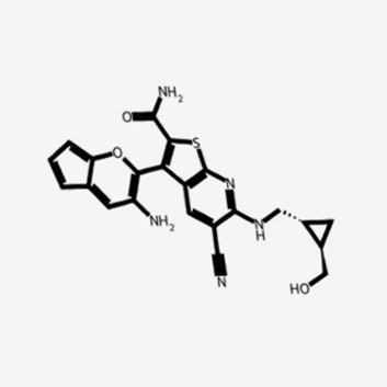 N#Cc1cc2c(-c3oc4cccc-4cc3N)c(C(N)=O)sc2nc1NC[C@@H]1C[C@H]1CO